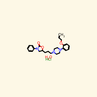 C=CCOc1ccccc1N1CCN(CCCC2CN(c3ccccc3)C(=O)O2)CC1.Cl.O